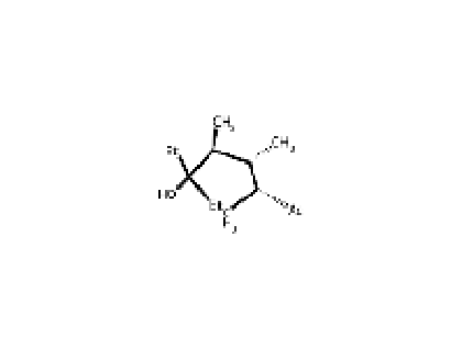 CCC(O)(CC)[C@@H](C)[C@H](C)[C@@H](C)C(C)=O